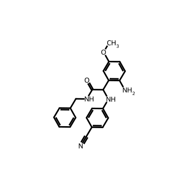 COc1ccc(N)c(C(Nc2ccc(C#N)cc2)C(=O)NCc2ccccc2)c1